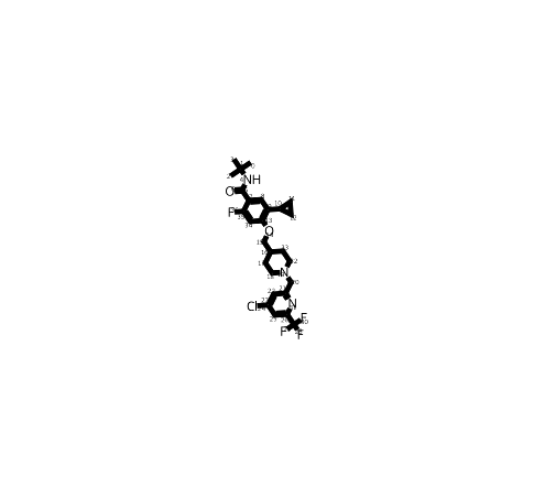 CC(C)(C)NC(=O)c1cc(C2CC2)c(OCC2CCN(Cc3cc(Cl)cc(C(F)(F)F)n3)CC2)cc1F